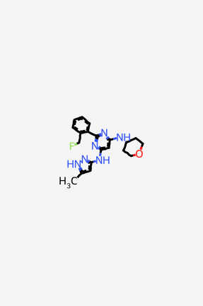 Cc1cc(Nc2cc(NC3CCOCC3)nc(-c3ccccc3CF)n2)n[nH]1